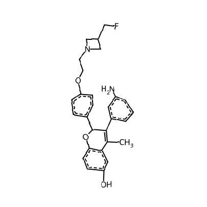 CC1=C(c2cccc(N)c2)C(c2ccc(OCCN3CC(CF)C3)cc2)Oc2ccc(O)cc21